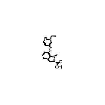 CCc1cc(Oc2cccc3cc(C(=O)O)n(C)c23)ccn1